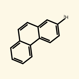 [2H]c1ccc2c(ccc3ccccc32)c1